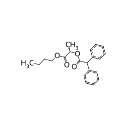 CCCCOC(=O)[C@@H](C)OC(=O)C(c1ccccc1)c1ccccc1